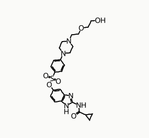 O=C(Nc1nc2cc(OS(=O)(=O)c3ccc(N4CCN(CCOCCO)CC4)cc3)ccc2[nH]1)C1CC1